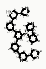 C1=C(c2cncnc2)C=C(c2cccc(-c3cc(-c4cccc(-c5cncc(-c6cncnc6)c5)c4)cc(-n4c5ccccc5c5cnccc54)c3)c2)CN1